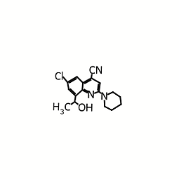 CC(O)c1cc(Cl)cc2c(C#N)cc(N3CCCCC3)nc12